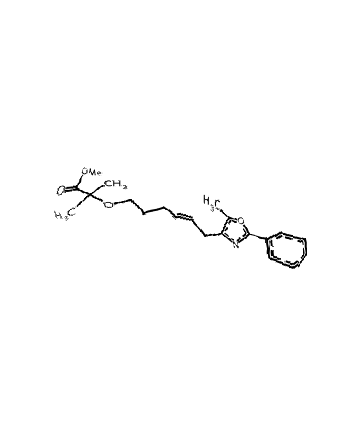 COC(=O)C(C)(C)OCCCC=CCc1nc(-c2ccccc2)oc1C